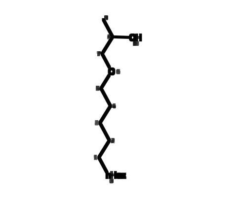 CCCCCCCCCCCOCC(C)O